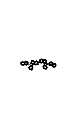 c1ccc2cc(-n3c4ccccc4c4c5ccc(-c6ccc7ccc8c(c7c6)c6ccccc6n8-c6ccc7ccccc7c6)cc5ccc43)ccc2c1